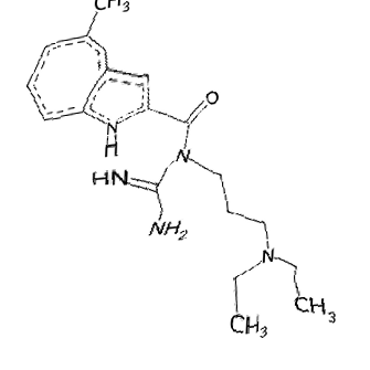 CCN(CC)CCCN(C(=N)N)C(=O)c1cc2c(C)cccc2[nH]1